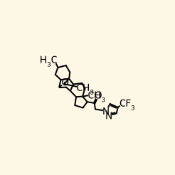 CC1CCC23C(C)OC(CC4C5CCC(C(=O)Cn6cc(C(F)(F)F)cn6)C5(C)CCC42)C3C1